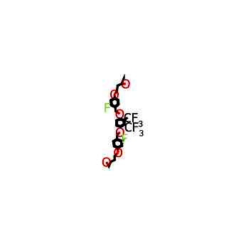 Fc1cc(OCCC2CO2)ccc1COc1ccc(OCc2ccc(OCCC3CO3)cc2F)c(C(F)(F)F)c1C(F)(F)F